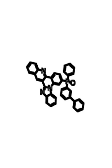 O=P(c1ccccc1)(c1cccc(-c2ccccc2)c1)c1ccc2c3nc4ccccc4cc3c3nc4ccccc4n3c2c1